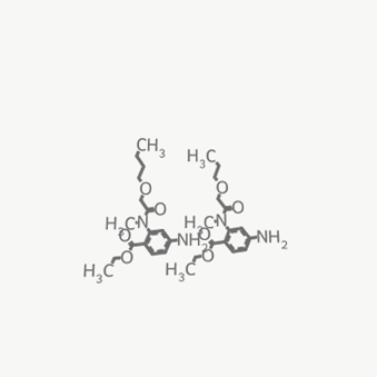 CCCCOCC(=O)N(C)c1cc(N)ccc1C(=O)OCC.CCCOCC(=O)N(C)c1cc(N)ccc1C(=O)OCC